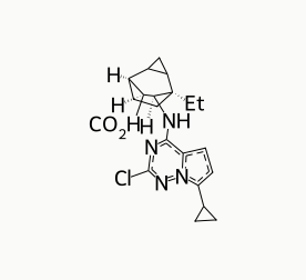 CC[C@@]12CC[C@@H](C3CC31)[C@H](C(=O)O)[C@@H]2Nc1nc(Cl)nn2c(C3CC3)ccc12